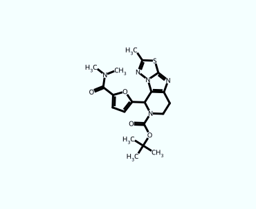 Cc1nn2c3c(nc2s1)CCN(C(=O)OC(C)(C)C)C3c1ccc(C(=O)N(C)C)o1